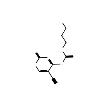 C#Cc1c[nH]c(=O)nc1NC(=O)OCCCNC(C)=O